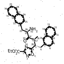 CCOC(=O)c1noc([C@@H](Cc2ccc3ccccc3c2)N(C)C(=O)[C@H](N)Cc2ccc3ccccc3c2)n1